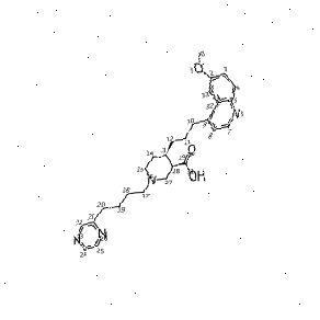 COc1ccc2nccc(CCC[C@@H]3CCN(CCCCc4cnccn4)C[C@@H]3C(=O)O)c2c1